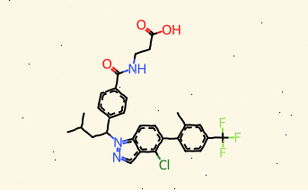 Cc1cc(C(F)(F)F)ccc1-c1ccc2c(cnn2C(CC(C)C)c2ccc(C(=O)NCCC(=O)O)cc2)c1Cl